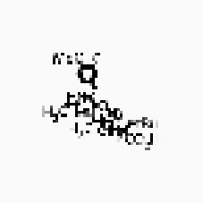 C=CC(=O)N[C@H](Cc1ccc(OC)c(Cl)c1)C(=O)N[C@@H](C)C(C)(C)C(=O)N[C@@H](CC(C)(C)C)C(=O)O